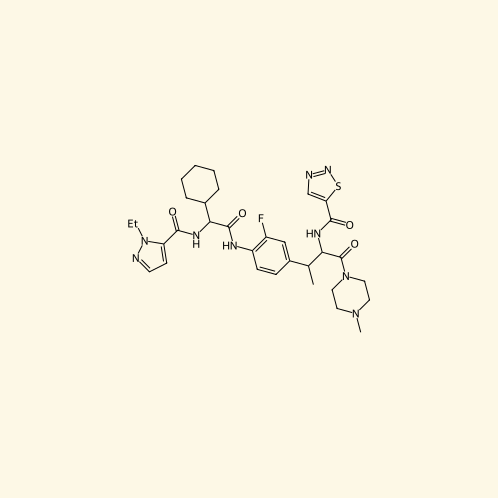 CCn1nccc1C(=O)NC(C(=O)Nc1ccc(C(C)C(NC(=O)c2cnns2)C(=O)N2CCN(C)CC2)cc1F)C1CCCCC1